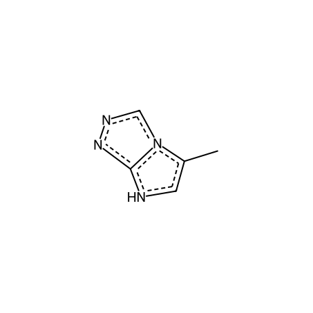 Cc1c[nH]c2nncn12